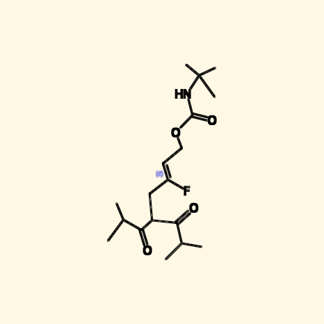 CC(C)C(=O)C(C/C(F)=C/COC(=O)NC(C)(C)C)C(=O)C(C)C